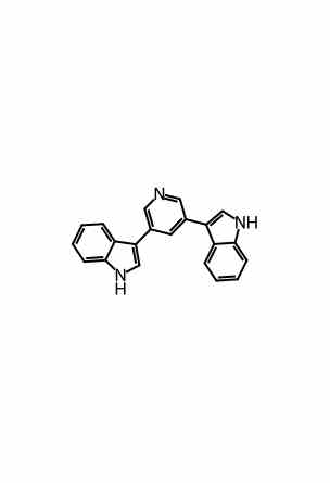 c1ccc2c(-c3cncc(-c4c[nH]c5ccccc45)c3)c[nH]c2c1